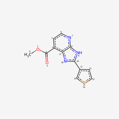 COC(=O)c1ccnc2[nH]c(-c3ccsc3)nc12